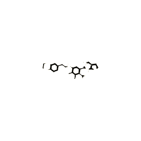 Cc1c(NCCc2ccc3c(c2)OCCO3)cc(-c2ncc3ccsc3n2)c(C(=O)O)c1C